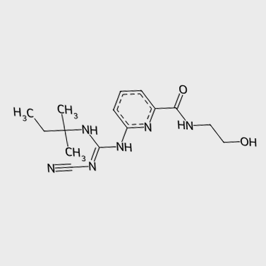 CCC(C)(C)N/C(=N\C#N)Nc1cccc(C(=O)NCCO)n1